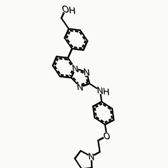 OCc1cccc(-c2cccc3nc(Nc4ccc(OCCN5CCCC5)cc4)nn23)c1